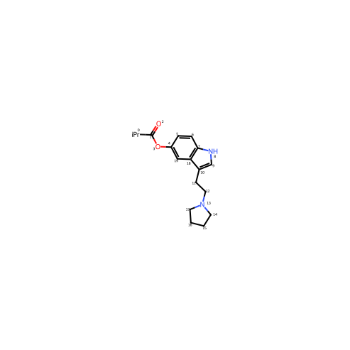 CC(C)C(=O)Oc1ccc2[nH]cc(CCN3CCCC3)c2c1